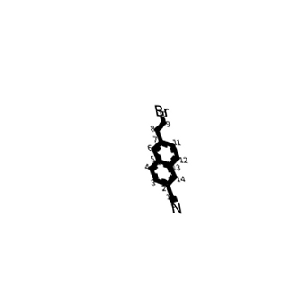 N#Cc1ccc2cc(CCBr)ccc2c1